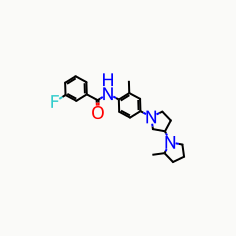 Cc1cc(N2CCC(N3CCCC3C)C2)ccc1NC(=O)c1cccc(F)c1